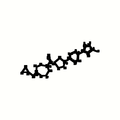 Cc1noc(-c2ccc(N3CC[C@H](C(=O)N4CCCN(CC5CC5)CC4)C3)cc2)n1